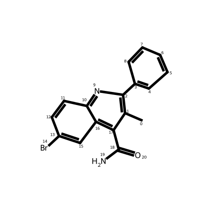 Cc1c(-c2ccccc2)nc2ccc(Br)cc2c1C(N)=O